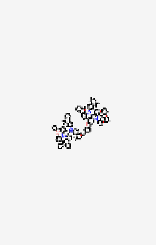 CC1(C)CCC(C)(C)c2cc(N3B4c5cccc6c5N(c5ccccc5C6(c5ccccc5)c5ccccc5)c5cc6c(oc7cc(CC8(C)CCC(C)(C)c9cc(N%10B%11c%12cccc%13c%12N(c%12ccccc%12C%13(c%12ccccc%12)c%12ccccc%12)c%12c%11c(cc%11c%12oc%12ccccc%12%11)-c%11c%10ccc%10c%11C(C)(C)c%11ccccc%11-%10)ccc98)ccc76)c(c54)-c4ccc5c(c43)C(C)(C)c3ccccc3-5)ccc21